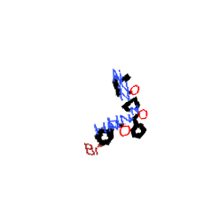 Cc1ncc2n1C(=O)N(C1CCN(C(=O)C(NC(=O)Nc3ccc(Br)cc3)c3ccccc3)CC1)C2